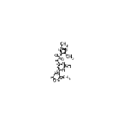 Cc1nn(C)cc1S(=O)(=O)Cc1cc(N2CCOC[C@@H]2C)nc(Cl)n1